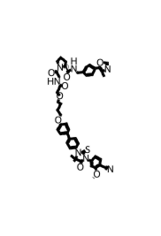 COc1cc(N2C(=O)C(C)(C)N(c3ccc(-c4ccc(OCCCCOCC(=O)NCC(=O)N5CCC[C@H]5C(=O)NCc5ccc(-c6ocnc6C)cc5)cc4)cc3)C2=S)ccc1C#N